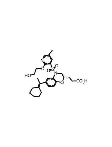 CC(=C1CCCCC1)c1ccc2c(c1)N(S(=O)(=O)c1cc(C)cnc1OCCO)C[C@H](CCC(=O)O)O2